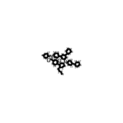 C=C/C=C\c1ccc(N(c2ccc(-c3ccccc3)cc2)c2cc(-c3ccccc3)cc(-c3ccccc3)c2)c2oc3cc(-c4nc5ccccc5o4)ccc3c12